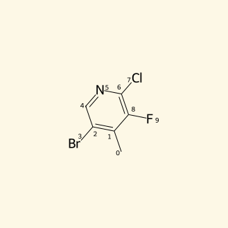 Cc1c(Br)cnc(Cl)c1F